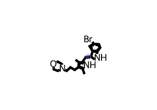 Cc1[nH]c(/C=C2\CNc3ccc(Br)cc32)c(C)c1CCCN1CCOCC1